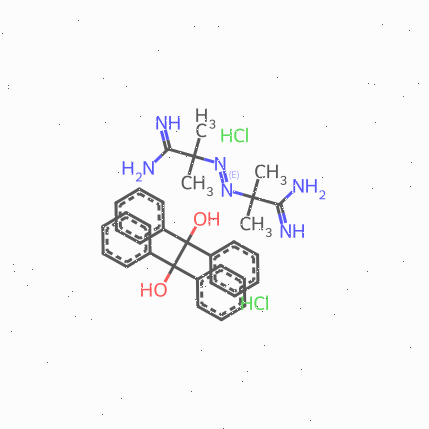 CC(C)(/N=N/C(C)(C)C(=N)N)C(=N)N.Cl.Cl.OC(c1ccccc1)(c1ccccc1)C(O)(c1ccccc1)c1ccccc1